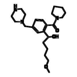 COCCCCC(O)c1cc(CN2CCNCC2)ccc1C(=O)N1CCCCC1